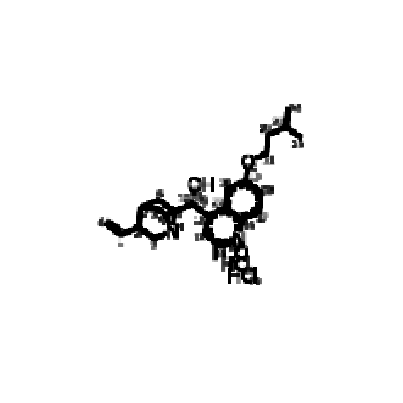 C=CC1CN2CCC1CC2[C@H](O)c1ccnc2ccc(OCCC(C)C)cc12.Cl.Cl.O